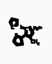 Cc1cc[c-](I)c1-c1cccs1.[Fe+2].c1cc[cH-]c1